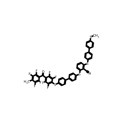 CSc1ccc(-c2ccc(Sc3cccc(Sc4ccc(-c5ccc(Sc6c(F)c(F)c(C(=O)c7c(F)c(F)c(C)c(F)c7F)c(F)c6F)cc5)cc4)c3C#N)cc2)cc1